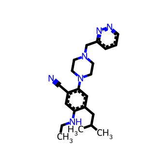 CCNc1cc(C#N)c(N2CCN(Cc3cccnn3)CC2)cc1CC(C)C